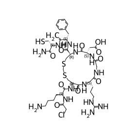 C=C(N[C@@H](CS)C(N)=O)[C@H](Cc1ccccc1)NC(=O)[C@@H]1CSCSC[C@H](NC(=O)[C@H](CCCCN)NC(=O)CCl)C(=O)N[C@@H](CCCNC(=N)N)C(=O)NCC(=O)N[C@@H](CC(=O)O)C(=O)N1